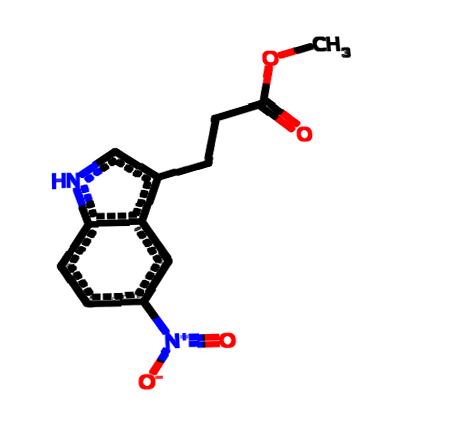 COC(=O)CCc1c[nH]c2ccc([N+](=O)[O-])cc12